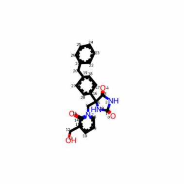 O=C1NC(=O)C(Cn2cccc(CO)c2=O)(c2ccc(Cc3ccccc3)cc2)N1